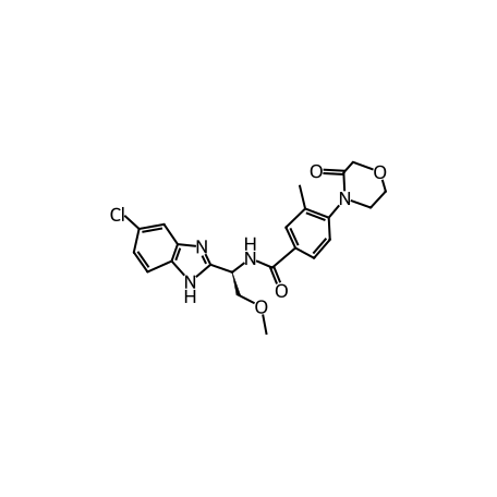 COC[C@H](NC(=O)c1ccc(N2CCOCC2=O)c(C)c1)c1nc2cc(Cl)ccc2[nH]1